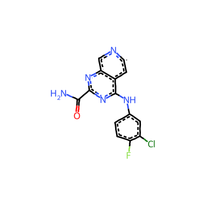 NC(=O)c1nc(Nc2ccc(F)c(Cl)c2)c2c[c]ncc2n1